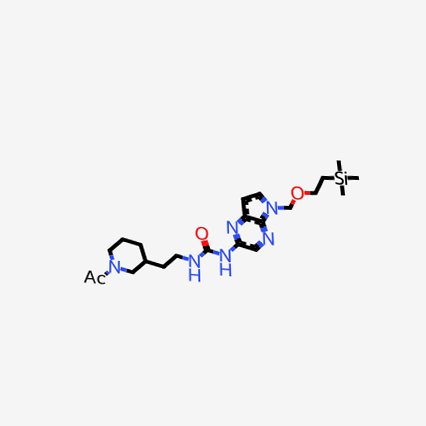 CC(=O)N1CCCC(CCNC(=O)Nc2cnc3c(ccn3COCC[Si](C)(C)C)n2)C1